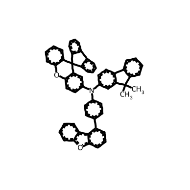 CC1(C)c2ccccc2-c2ccc(N(c3ccc(-c4cccc5oc6ccccc6c45)cc3)c3ccc4c(c3)C3(c5ccccc5O4)c4ccccc4-c4ccccc43)cc21